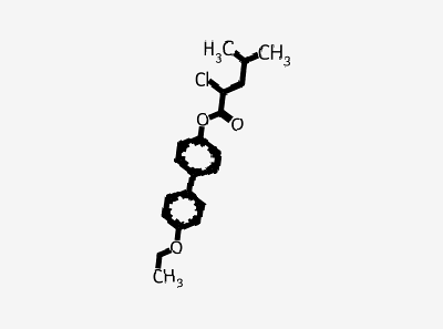 CCOc1ccc(-c2ccc(OC(=O)C(Cl)CC(C)C)cc2)cc1